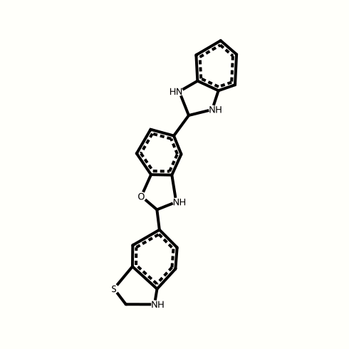 c1ccc2c(c1)NC(c1ccc3c(c1)NC(c1ccc4c(c1)SCN4)O3)N2